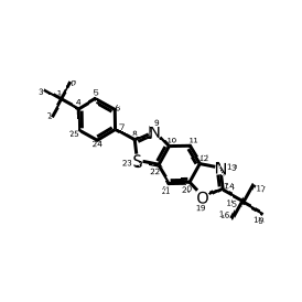 CC(C)(C)c1ccc(-c2nc3cc4nc(C(C)(C)C)oc4cc3s2)cc1